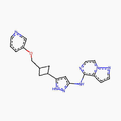 c1cncc(OCC2CC(c3cc(Nc4nccn5nccc45)n[nH]3)C2)c1